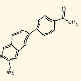 CC(=O)c1ccc(-c2ccc3cnc(N)cc3c2)cc1